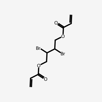 C=CC(=O)OCC(Br)C(Br)COC(=O)C=C